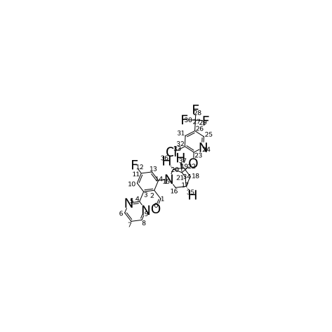 O=Cc1c(-c2ncccn2)cc(F)cc1N1C[C@@H]2CC[C@H]1[C@H](Oc1ncc(C(F)(F)F)cc1Cl)C2